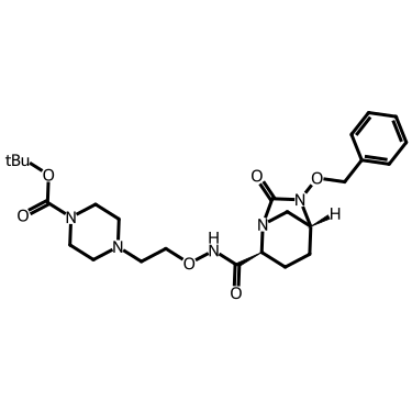 CC(C)(C)OC(=O)N1CCN(CCONC(=O)[C@@H]2CC[C@@H]3CN2C(=O)N3OCc2ccccc2)CC1